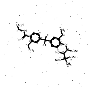 CCC(CC)(c1ccc(OC(NC)C(O)C(C)(NC)NC)c(CN)c1)c1ccc(C(=O)NCC(=O)O)c(CN)c1